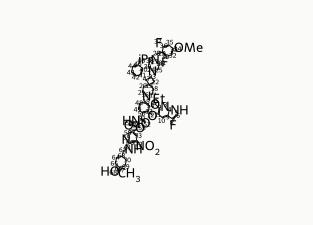 CCOc1nc2[nH]cc(F)c2cc1Oc1cc(N2CCC3(CC2)CC(N2CCN(Cc4c(F)cc(OC)cc4F)C[C@H]2c2ccccc2C(C)C)C3)ccc1C(=O)NS(=O)(=O)c1cnc(NCC2CCC(C)(O)CC2)c([N+](=O)[O-])c1